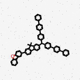 CC1(C)c2cc(-c3ccc4oc5ccccc5c4c3)ccc2-c2ccc(C(c3ccc(-c4ccc(-c5ccccc5)cc4)cc3)c3ccc(-c4ccc(-c5ccccc5)cc4)cc3)cc21